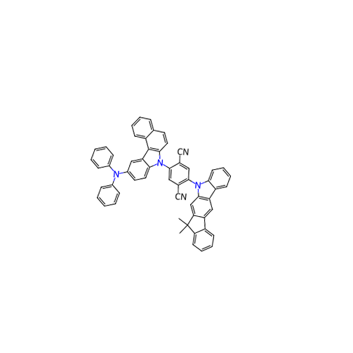 CC1(C)c2ccccc2-c2cc3c4ccccc4n(-c4cc(C#N)c(-n5c6ccc(N(c7ccccc7)c7ccccc7)cc6c6c7ccccc7ccc65)cc4C#N)c3cc21